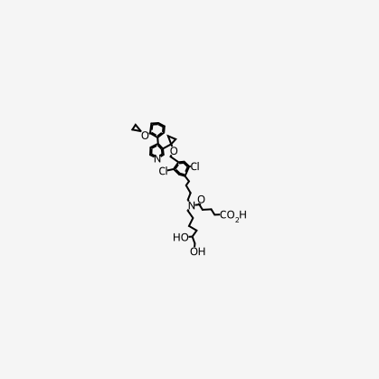 O=C(O)CCCC(=O)N(CCCCc1cc(Cl)c(COC2(c3cnccc3-c3ccccc3OC3CC3)CC2)cc1Cl)CCCCC(O)CO